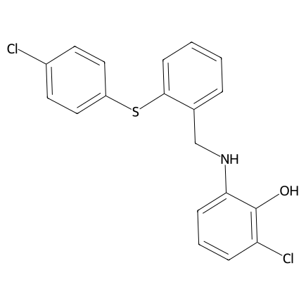 Oc1c(Cl)cccc1NCc1ccccc1Sc1ccc(Cl)cc1